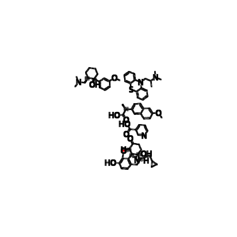 CC(CN1c2ccccc2Sc2ccccc21)N(C)C.COc1ccc2cc([C@H](C)C(=O)O)ccc2c1.COc1cccc([C@@]2(O)CCCC[C@@H]2CN(C)C)c1.O=C(O)c1cccnc1.O=C1CC[C@@]2(O)[C@H]3Cc4ccc(O)c5c4[C@@]2(CCN3CC2CC2)[C@H]1O5